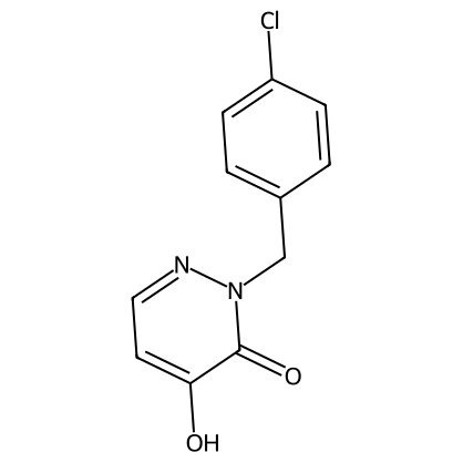 O=c1c(O)ccnn1Cc1ccc(Cl)cc1